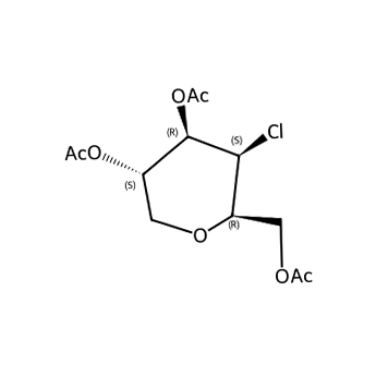 CC(=O)OC[C@H]1OC[C@H](OC(C)=O)[C@@H](OC(C)=O)[C@H]1Cl